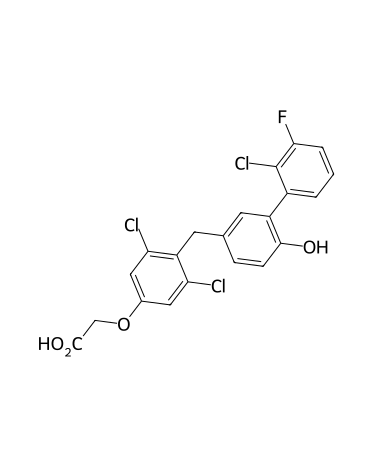 O=C(O)COc1cc(Cl)c(Cc2ccc(O)c(-c3cccc(F)c3Cl)c2)c(Cl)c1